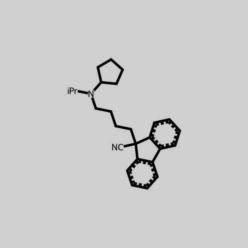 CC(C)N(CCCCC1(C#N)c2ccccc2-c2ccccc21)C1CCCC1